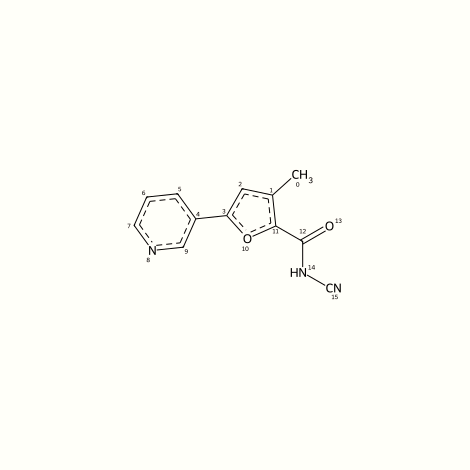 Cc1cc(-c2cccnc2)oc1C(=O)NC#N